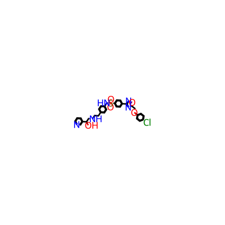 O=S(=O)(Nc1ccc(CCNCC(O)c2cccnc2)cc1)c1ccc(-c2noc(COc3ccc(Cl)cc3)n2)cc1